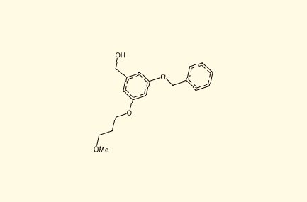 COCCCOc1cc(CO)cc(OCc2ccccc2)c1